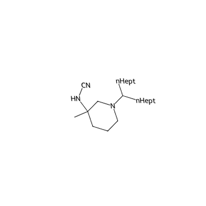 CCCCCCCC(CCCCCCC)N1CCCC(C)(NC#N)C1